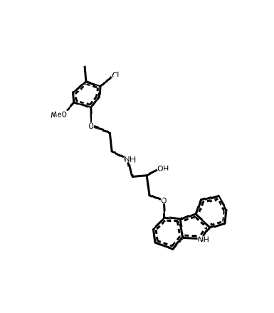 COc1cc(C)c(Cl)cc1OCCNCC(O)COc1cccc2[nH]c3ccccc3c12